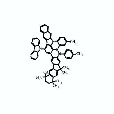 Cc1ccc(N2B3c4cc(C)ccc4-n4c5cc6ccccc6cc5c5c(-n6c7ccccc7c7ccccc76)cc(c3c54)-c3cc4c(cc32)C(C)(C)c2cc3c(cc2-4)C(C)(C)CCC3(C)C)cc1